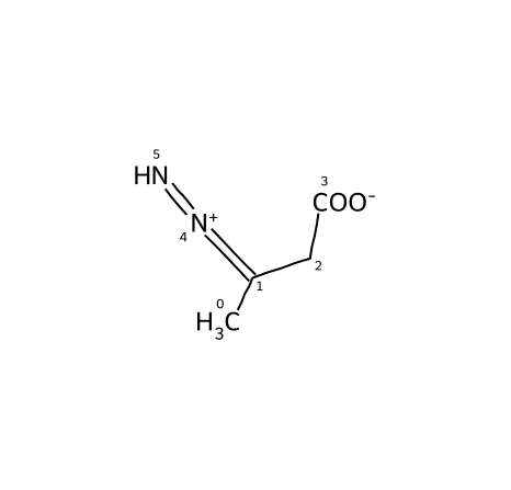 CC(CC(=O)[O-])=[N+]=N